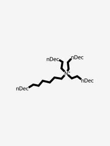 CCCCCCCCCCCCCCCC[N+](CCCCCCCCCCCC)(CCCCCCCCCCCC)CCCCCCCCCCCC